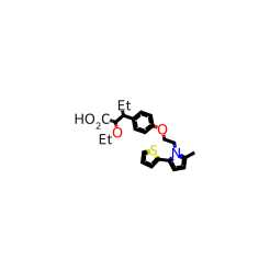 CCOC(C(=O)O)C(CC)c1ccc(OCCn2c(C)ccc2-c2cccs2)cc1